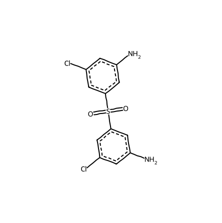 Nc1cc(Cl)cc(S(=O)(=O)c2cc(N)cc(Cl)c2)c1